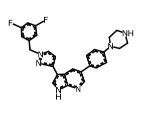 Fc1cc(F)cc(Cn2ccc(-c3c[nH]c4ncc(-c5ccc(N6CCNCC6)cc5)cc34)n2)c1